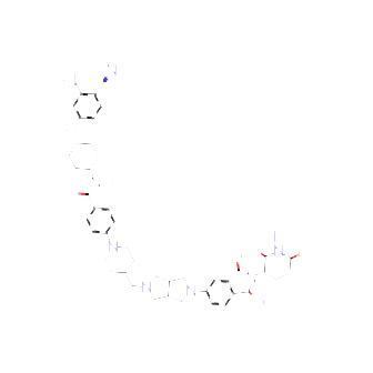 N#Cc1ccc(O[C@H]2CC[C@H](NC(=O)c3ccc(N4CCC(CN5CC6CN(c7ccc8c(c7)C(=O)N(C7CCC(=O)NC7=O)C8=O)CC6C5)CC4)cc3)CC2)cc1Cl